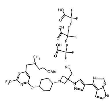 COCCN(C)Cc1cc(O[C@H]2CC[C@@H](N3CC(CC#N)(n4cc(-c5ncnc6[nH]ccc56)cn4)C3)CC2)nc(C(F)(F)F)n1.O=C(O)C(F)(F)F.O=C(O)C(F)(F)F.O=C(O)C(F)(F)F